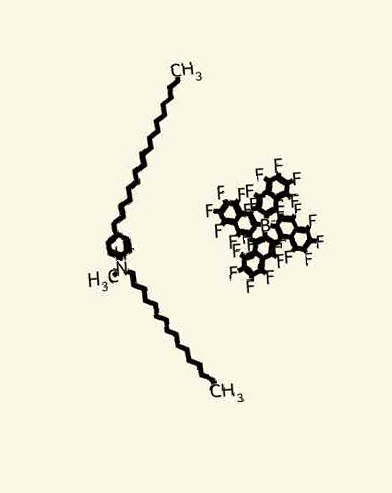 CCCCCCCCCCCCCCCCCCCc1ccc([NH+](C)CCCCCCCCCCCCCCCC)cc1.Fc1c(F)c(F)c2c(F)c([B-](c3c(F)c(F)c4c(F)c(F)c(F)c(F)c4c3F)(c3c(F)c(F)c4c(F)c(F)c(F)c(F)c4c3F)c3c(F)c(F)c4c(F)c(F)c(F)c(F)c4c3F)c(F)c(F)c2c1F